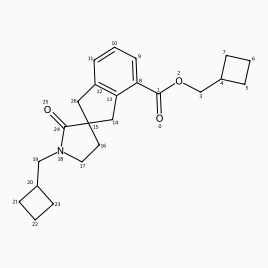 O=C(OCC1CCC1)c1cccc2c1CC1(CCN(CC3CCC3)C1=O)C2